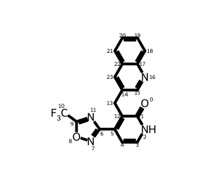 O=c1[nH]ccc(-c2noc(C(F)(F)F)n2)c1Cc1cnc2ccccc2c1